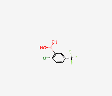 OB(O)c1cc(C(F)(F)F)ccc1Cl